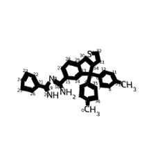 Cc1ccc(C2(c3ccc(C)cc3)c3cc(/C(N)=N/C(=N)c4ccccc4)ccc3-c3sccc32)cc1